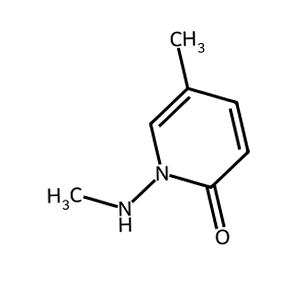 CNn1cc(C)ccc1=O